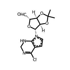 CC1(C)O[C@@H]2[C@H](O1)[C@@H](C=O)O[C@H]2n1ccc2c1NCN=C2Cl